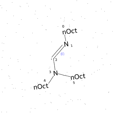 CCCCCCCC/N=[C]/N(CCCCCCCC)CCCCCCCC